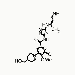 COc1c(N2CCC(CO)CC2)cc(C(=O)Nc2nnc(N/C(C)=C\C=N)s2)oc1=O